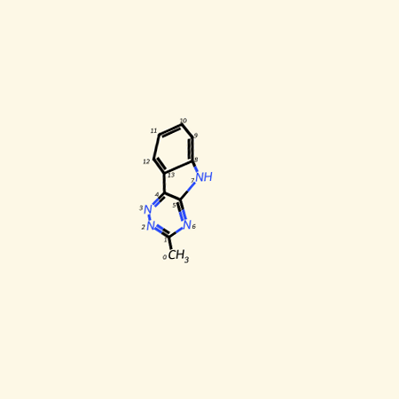 Cc1nnc2c(n1)[nH]c1ccccc12